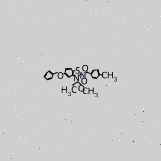 CCC(C(=O)OC)n1/c(=N/C(=O)c2ccc(C)cc2)sc2ccc(OCc3ccccc3)cc21